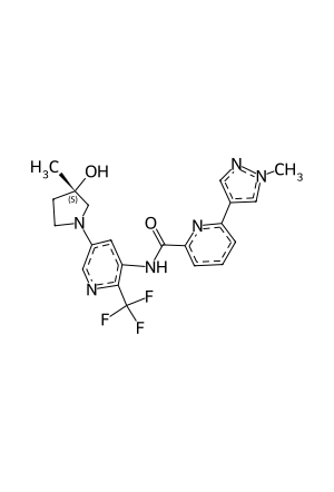 Cn1cc(-c2cccc(C(=O)Nc3cc(N4CC[C@](C)(O)C4)cnc3C(F)(F)F)n2)cn1